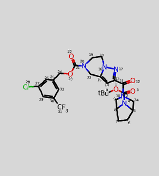 CC(C)(C)OC(=O)N1C2CCC1CN(C(=O)c1cc3n(n1)CCN(C(=O)OCc1cc(Cl)cc(C(F)(F)F)c1)C3)C2